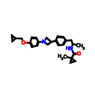 CC(Cc1ccc(C2CN(c3ccc(OCC4CC4)cc3)C2)cc1)NC(=O)C1(C)CC1